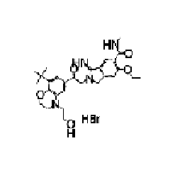 Br.CCOc1cc2c(cc1C(=O)NC)C(=N)N(CC(=O)c1cc3c(c(C(C)(C)C)c1)OCCN3CCO)C2